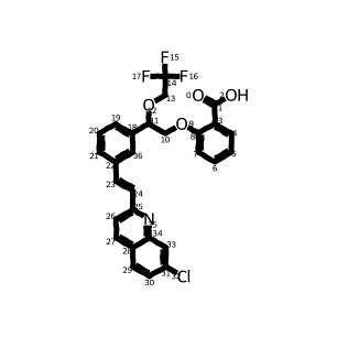 O=C(O)c1ccccc1OCC(OCC(F)(F)F)c1cccc(/C=C/c2ccc3ccc(Cl)cc3n2)c1